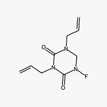 C=CCN1CN(F)C(=O)N(CC=C)C1=O